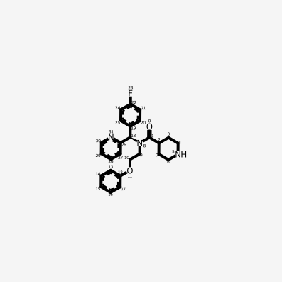 O=C(C1CCNCC1)N(CCOc1ccccc1)[C@H](c1ccc(F)cc1)c1ccccn1